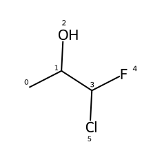 CC(O)C(F)Cl